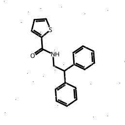 O=C(NCC(c1ccccc1)c1ccccc1)c1cccs1